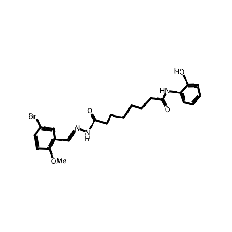 COc1ccc(Br)cc1C=NNC(=O)CCCCCCC(=O)Nc1ccccc1O